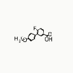 COc1ccc(-c2cc(C(=O)O)ccc2F)cc1